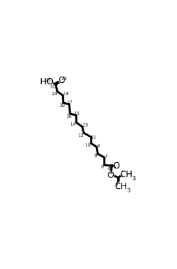 CC(C)OC(=O)CCCCCCCCCCCCCCCC(=O)O